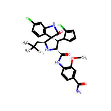 COc1cc(C(N)=O)ccc1NC(=O)[C@@H]1N[C@@H](CC(C)(C)C)[C@@]2(C(=O)Nc3cc(Cl)ccc32)C1C1C=CC=C1Cl